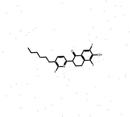 CCCCCCc1ccc(C2CCc3c(cc(F)c(O)c3F)C2=O)nc1F